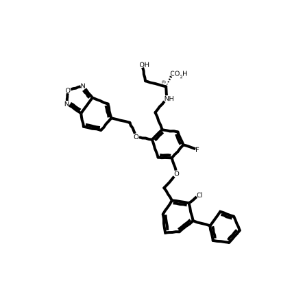 O=C(O)[C@@H](CO)NCc1cc(F)c(OCc2cccc(-c3ccccc3)c2Cl)cc1OCc1ccc2nonc2c1